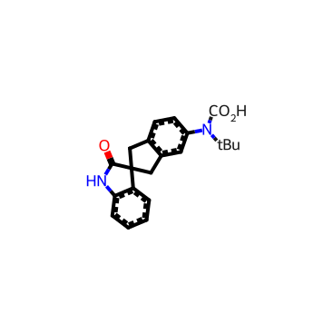 CC(C)(C)N(C(=O)O)c1ccc2c(c1)CC1(C2)C(=O)Nc2ccccc21